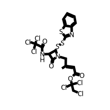 C/C(=C\C(=O)OC(Cl)(Cl)CCl)CN1C(=O)C(NC(=O)C(Cl)(Cl)Cl)C1SSc1nc2ccccc2s1